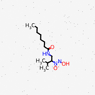 CCCCCCCC(=O)NCC(C(C)C)/[N+]([O-])=N/O